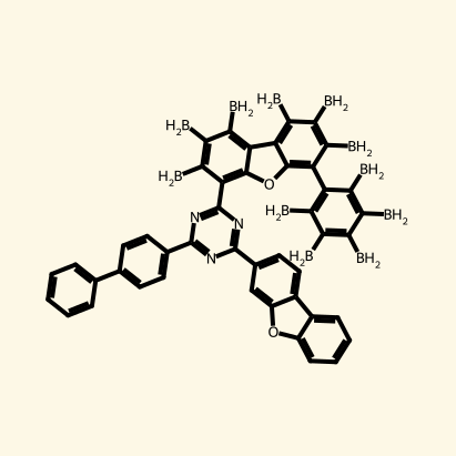 Bc1c(B)c(B)c(-c2c(B)c(B)c(B)c3c2oc2c(-c4nc(-c5ccc(-c6ccccc6)cc5)nc(-c5ccc6c(c5)oc5ccccc56)n4)c(B)c(B)c(B)c23)c(B)c1B